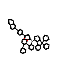 c1ccc(-c2ccccc2-c2ccccc2N(c2ccc(-c3ccc(-c4ccc5ccccc5c4)cc3)cc2)c2cccc3c2-c2ccccc2C3(c2ccccc2)c2ccccc2)cc1